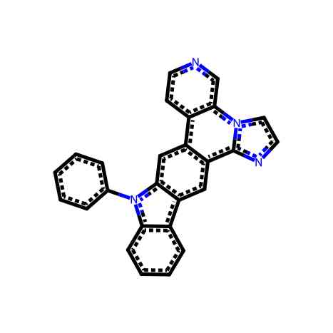 c1ccc(-n2c3ccccc3c3cc4c(cc32)c2ccncc2n2ccnc42)cc1